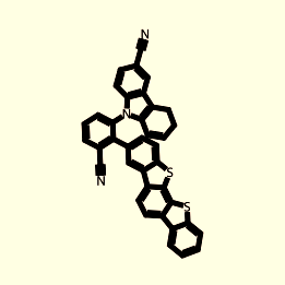 N#Cc1ccc2c(c1)c1c(n2-c2cccc(C#N)c2-c2ccc3sc4c(ccc5c6ccccc6sc54)c3c2)C=CCC1